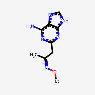 CCO/N=C(/C)Cc1nc(N)c2nc[nH]c2n1